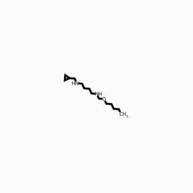 CCCCCOCNCCCCNCC1CC1